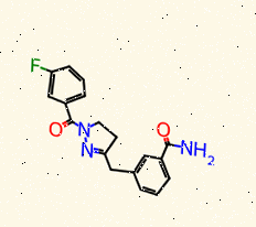 NC(=O)c1cccc(CC2=NN(C(=O)c3cccc(F)c3)CC2)c1